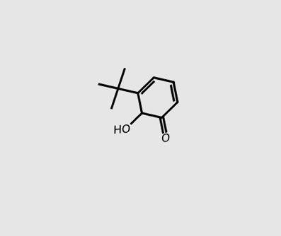 CC(C)(C)C1=CC=CC(=O)C1O